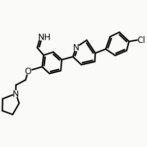 N=Cc1cc(-c2ccc(-c3ccc(Cl)cc3)cn2)ccc1OCCN1CCCC1